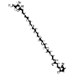 CC(C)[C@H](NC(=O)CCOCCOCCOCCOCCOCCOCCOCCOCCNC(=O)CCN1C(=O)C=CC1=O)C(N)=O